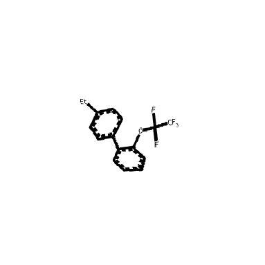 [CH2]Cc1ccc(-c2ccccc2OC(F)(F)C(F)(F)F)cc1